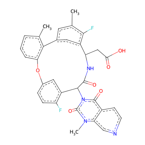 Cc1cc2cc(c1F)C(CC(=O)O)NC(=O)C(n1c(=O)c3ccncc3n(C)c1=O)c1cc(ccc1F)Oc1cccc(C)c1-2